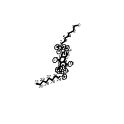 CCCCCCCCS(=O)(=O)OC1C2C(=O)C3C(=O)N(OS(=O)(=O)CCCCCCCC)C(=O)C3C2C[N+]1=O